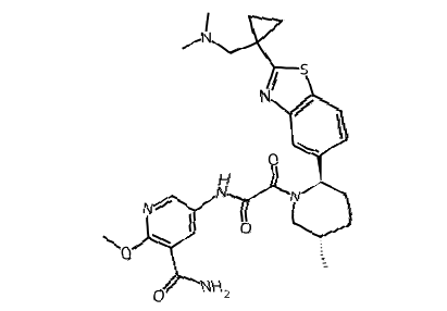 COc1ncc(NC(=O)C(=O)N2C[C@@H](C)CC[C@@H]2c2ccc3sc(C4(CN(C)C)CC4)nc3c2)cc1C(N)=O